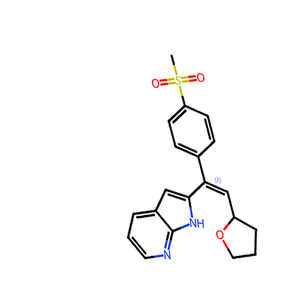 CS(=O)(=O)c1ccc(/C(=C/C2CCCO2)c2cc3cccnc3[nH]2)cc1